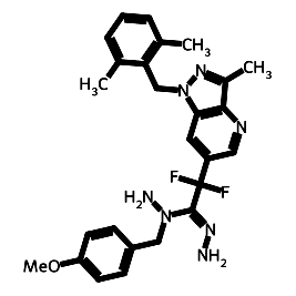 COc1ccc(CN(N)/C(=N\N)C(F)(F)c2cnc3c(C)nn(Cc4c(C)cccc4C)c3c2)cc1